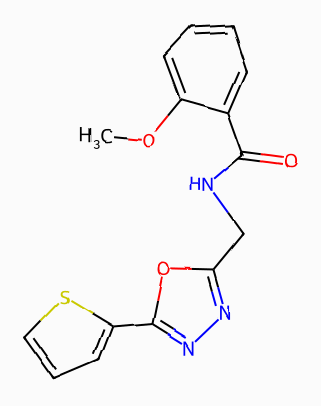 COc1ccccc1C(=O)NCc1nnc(-c2cccs2)o1